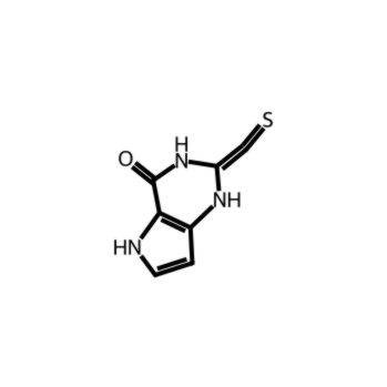 O=C1NC(=C=S)Nc2cc[nH]c21